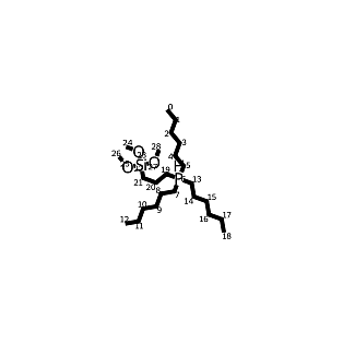 CCCCCC[PH](CCCCCC)(CCCCCC)CCC[Si](OC)(OC)OC